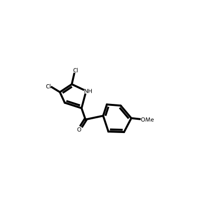 COc1ccc(C(=O)c2cc(Cl)c(Cl)[nH]2)cc1